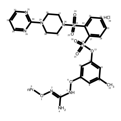 CCCON=C(N)NOc1cc(C)cc(OS(=O)(=O)c2ccccc2S(=O)(=O)N2CCN(c3ncccn3)CC2)c1.Cl